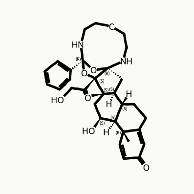 C[C@]12C=CC(=O)C=C1CC[C@@H]1[C@@H]2[C@@H](O)C[C@@]2(C)[C@H]1C[C@]13NCCCCCN[C@](c4ccccc4)(O[C@@]21C(=O)CO)O3